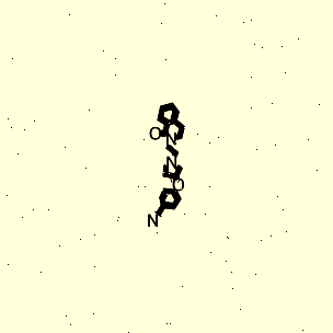 N#Cc1ccc(O[C@@H]2CCN(CCN3CCc4ccccc4C3=O)C2)cc1